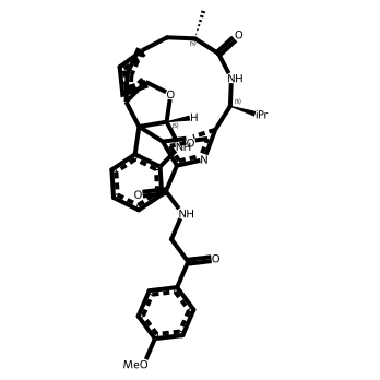 COc1ccc(C(=O)CNC(=O)c2nc3oc2C24c5ccccc5N[C@H]2Oc2ccc(cc24)C[C@H](C)C(=O)N[C@H]3C(C)C)cc1